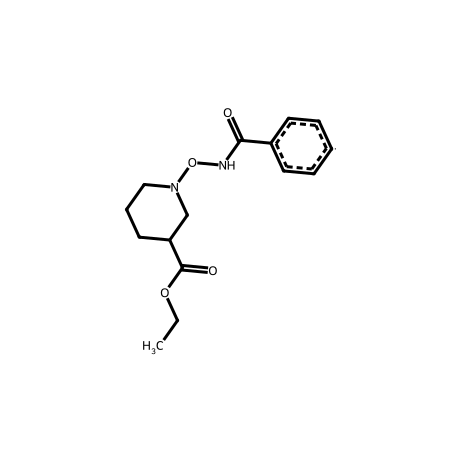 CCOC(=O)C1CCCN(ONC(=O)c2cc[c]cc2)C1